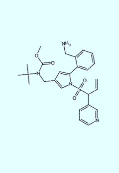 C=CC(c1cccnc1)S(=O)(=O)n1cc(CN(C(=O)OC)C(C)(C)C)cc1-c1ccccc1CN